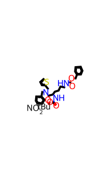 CC(C)(C)OC(=O)NC(CCCCNC(=O)OCc1ccccc1)C(=O)N(Cc1ccc([N+](=O)[O-])cc1)Cc1cccs1